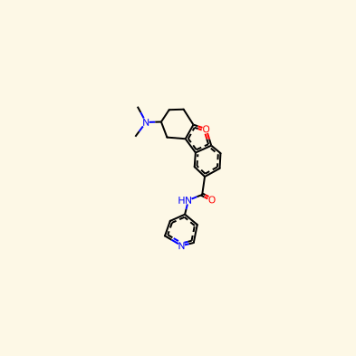 CN(C)C1CCc2oc3ccc(C(=O)Nc4ccncc4)cc3c2C1